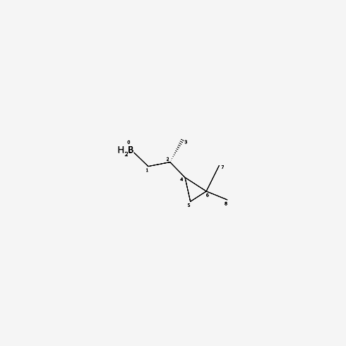 BC[C@H](C)C1CC1(C)C